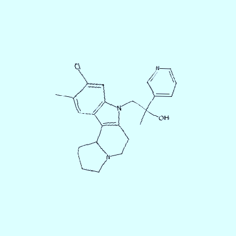 Cc1cc2c3c(n(CC(C)(O)c4cccnc4)c2cc1Cl)CCN1CCCC31